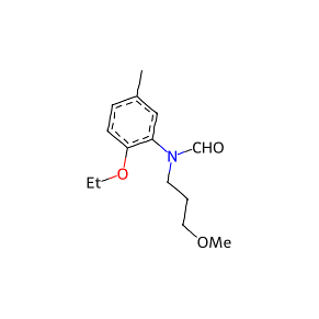 CCOc1ccc(C)cc1N(C=O)CCCOC